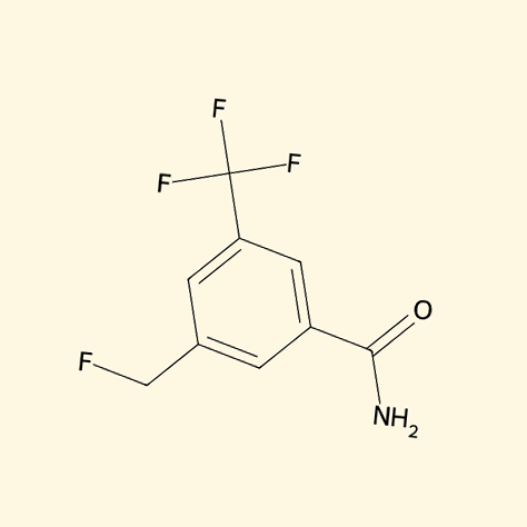 NC(=O)c1cc(CF)cc(C(F)(F)F)c1